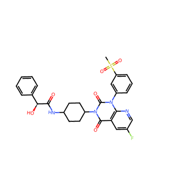 CS(=O)(=O)c1cccc(-n2c(=O)n(C3CCC(NC(=O)[C@@H](O)c4ccccc4)CC3)c(=O)c3cc(F)cnc32)c1